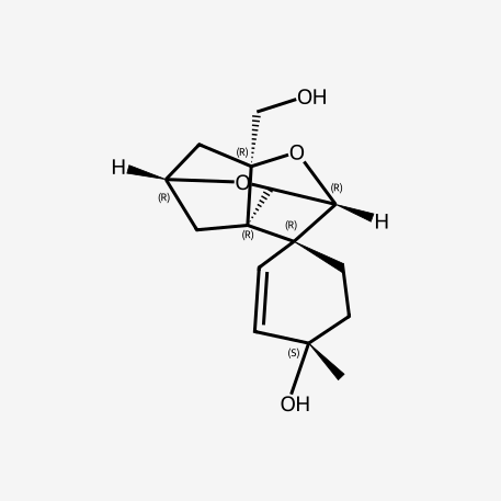 C[C@]12C[C@@H]3C[C@@]1(CO)O[C@@H](O3)[C@]21C=C[C@@](C)(O)CC1